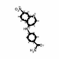 NC(=O)c1ccc(Nc2ccnc3cc([N+](=O)[O-])ccc23)cc1